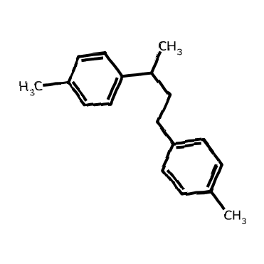 Cc1ccc(CCC(C)c2ccc(C)cc2)cc1